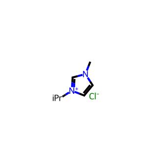 CC(C)[n+]1ccn(C)c1.[Cl-]